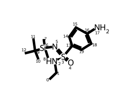 CCN[S@@](=O)(=N[Si](C)(C)C(C)(C)C)c1ccc(N)cc1